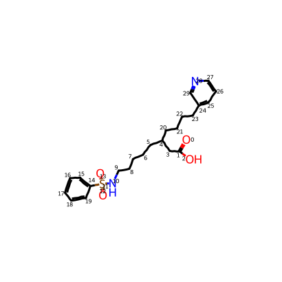 O=C(O)CC(CCCCCNS(=O)(=O)c1ccccc1)CCCCc1cccnc1